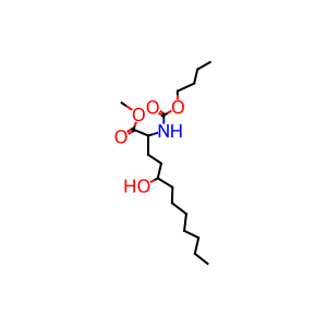 CCCCCCCC(O)CCC(NC(=O)OCCCC)C(=O)OC